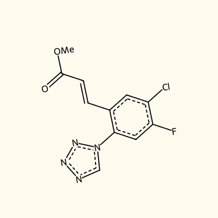 COC(=O)C=Cc1cc(Cl)c(F)cc1-n1cnnn1